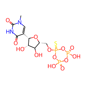 Cn1cc([C@@H]2O[C@H](COP3(=S)OP(=O)(O)OP(=O)(O)O3)C(O)[C@@H]2O)c(=O)[nH]c1=O